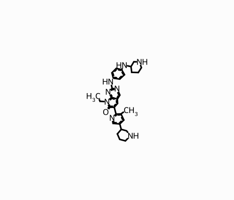 CCn1c(=O)c(-c2ncc(C3CCCNC3)cc2C)cc2cnc(Nc3ccc(NC4CCCNC4)cc3)nc21